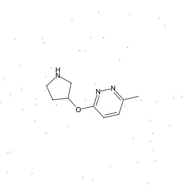 Cc1ccc(OC2CCNC2)nn1